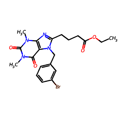 CCOC(=O)CCCc1nc2c(c(=O)n(C)c(=O)n2C)n1Cc1cccc(Br)c1